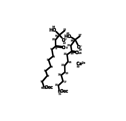 CCCCCCCCCCCCCCCCCC(=O)CC(C)([O-])O.CCCCCCCCCCCCCCCCCC(=O)CC(C)([O-])O.[Ca+2]